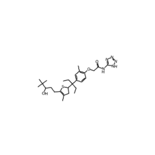 CCC(CC)(c1ccc(OCC(=O)Nc2nnn[nH]2)c(C)c1)C1CC(C)=C(CCC(O)C(C)(C)C)S1